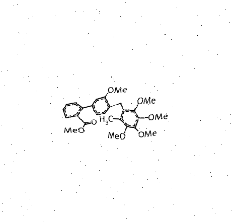 COC(=O)c1ccccc1-c1ccc(Cc2c(C)c(OC)c(OC)c(OC)c2OC)c(OC)c1